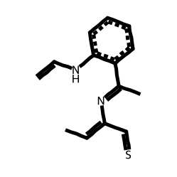 C=CNc1ccccc1/C(C)=N/C(C=S)=C\C